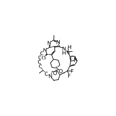 Cc1nc2c3cc(C4CCS(=O)(=O)CC4)c(=O)n(c3n1)CCCCC(C)CN1CCC(CC1)C(F)(F)c1cccc(c1F)[C@@H](C)N2